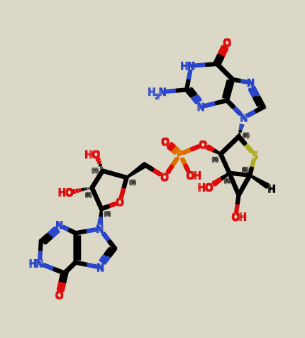 Nc1nc2c(ncn2[C@@H]2S[C@@H]3C(O)[C@]3(O)[C@H]2OP(=O)(O)OC[C@H]2O[C@@H](n3cnc4c(=O)[nH]cnc43)[C@H](O)[C@@H]2O)c(=O)[nH]1